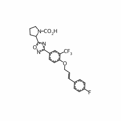 O=C(O)N1CCCC1c1nc(-c2ccc(OCC=Cc3ccc(F)cc3)c(C(F)(F)F)c2)no1